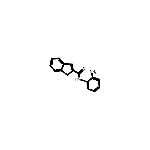 Nc1ccccc1NC(=O)C1=Cc2ccccc2C1